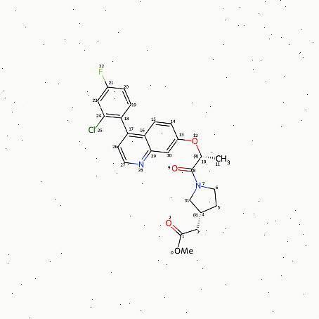 COC(=O)C[C@H]1CCN(C(=O)[C@@H](C)Oc2ccc3c(-c4ccc(F)cc4Cl)ccnc3c2)C1